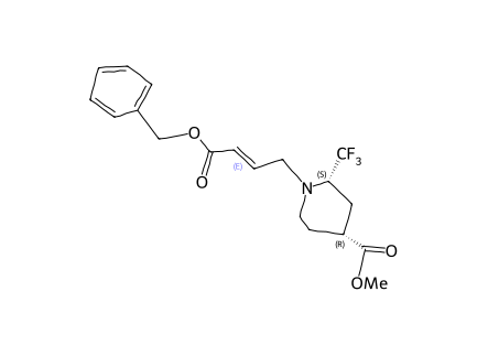 COC(=O)[C@@H]1CCN(C/C=C/C(=O)OCc2ccccc2)[C@H](C(F)(F)F)C1